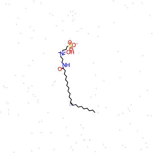 CCCCCCCC/C=C\CCCCCCCCCCCC(=O)NCCC[N+](C)(C)CC(O)CS(=O)(=O)[O-]